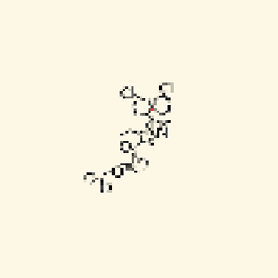 COC(=O)COC[C@@H]1CCCN1C(=O)C1=C(C(C)C)N2C(=N[C@@](C)(c3ccc(Cl)cc3)[C@H]2c2ccc(Cl)cc2)S1